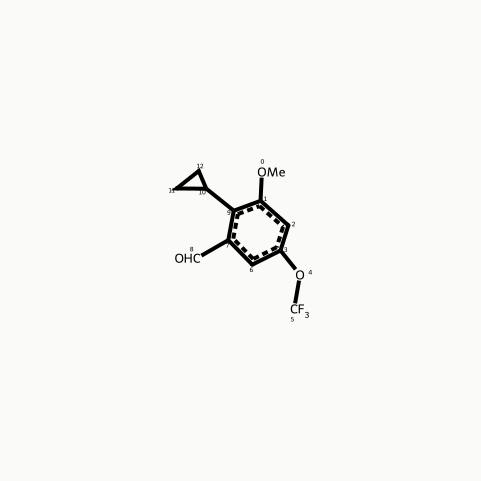 COc1cc(OC(F)(F)F)cc(C=O)c1C1CC1